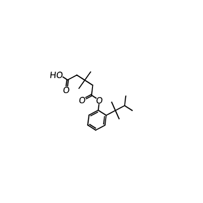 CC(C)C(C)(C)c1ccccc1OC(=O)CC(C)(C)CC(=O)O